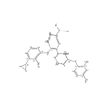 C[C@@H](F)c1cc(C2=NOCC(Cc3ccc(Cl)cc3Cl)N2)c(Oc2cccc(C3CC3)c2F)nn1